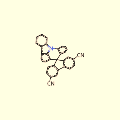 N#Cc1ccc2c(c1)-c1ccc(C#N)cc1C21c2ccccc2-n2c3ccccc3c3cccc1c32